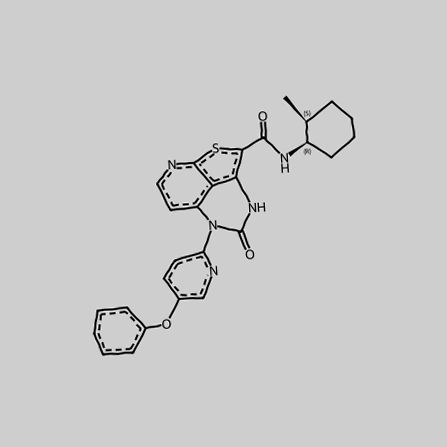 C[C@H]1CCCC[C@H]1NC(=O)c1sc2nccc3c2c1NC(=O)N3c1ccc(Oc2ccccc2)cn1